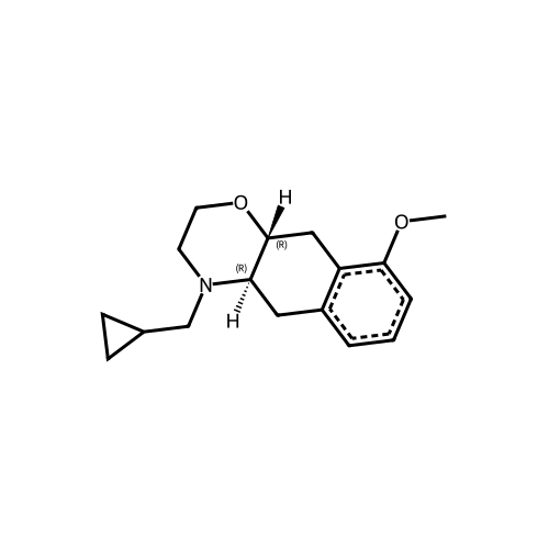 COc1cccc2c1C[C@H]1OCCN(CC3CC3)[C@@H]1C2